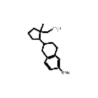 COc1ccc2c(c1)CCC(C1CCCC1(C)CC(=O)O)C2